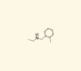 [CH2]CNCc1ccccc1C